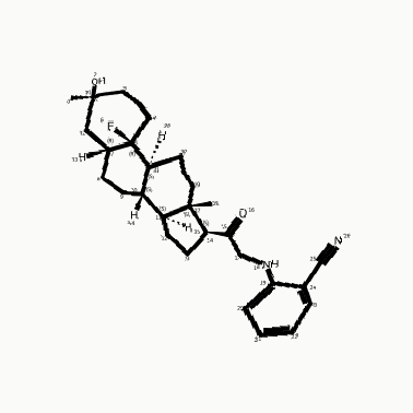 C[C@@]1(O)CC[C@@]2(F)[C@H](CC[C@H]3[C@@H]4CC[C@H](C(=O)CNc5ccccc5C#N)[C@@]4(C)CC[C@@H]32)C1